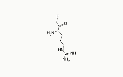 N=C(N)NCCCC(N)C(=O)CF